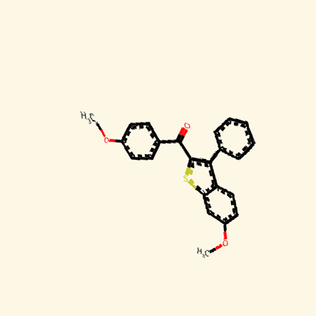 COc1ccc(C(=O)c2sc3cc(OC)ccc3c2-c2ccccc2)cc1